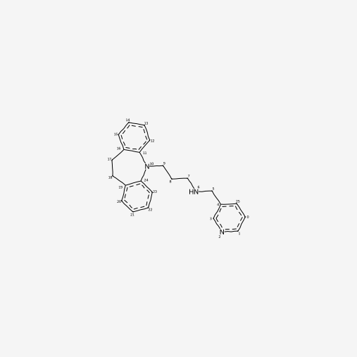 c1cncc(CNCCCN2c3ccccc3CCc3ccccc32)c1